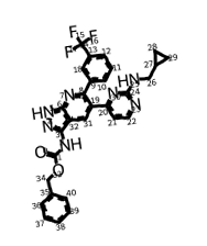 O=C(Nc1n[nH]c2nc(-c3cccc(C(F)(F)F)c3)c(-c3ccnc(NCC4CC4)n3)cc12)OCc1ccccc1